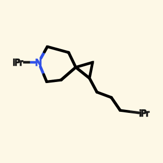 CC(C)CCCC1CC12CCN(C(C)C)CC2